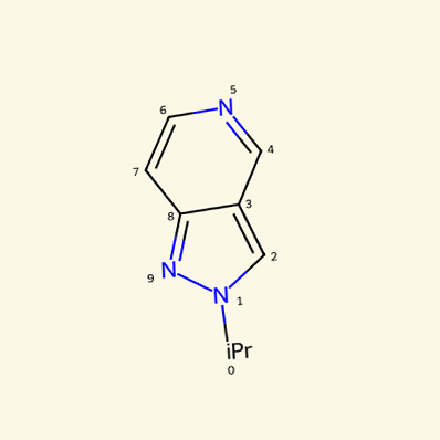 CC(C)n1cc2cnccc2n1